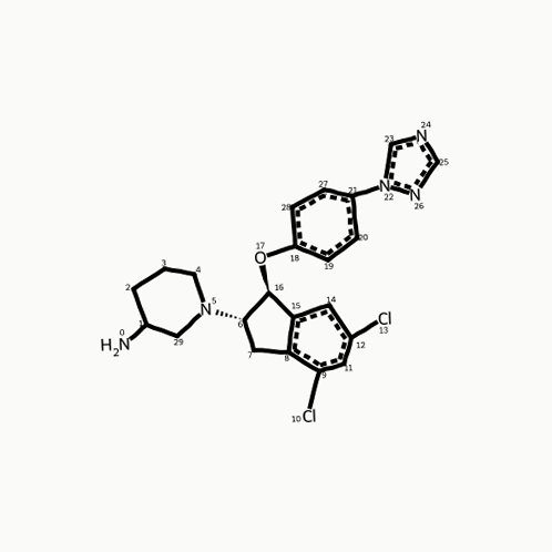 NC1CCCN([C@H]2Cc3c(Cl)cc(Cl)cc3[C@@H]2Oc2ccc(-n3cncn3)cc2)C1